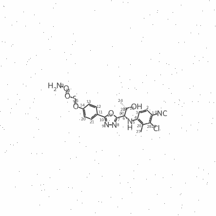 [C-]#[N+]c1ccc(N[C@@H](c2nnc(-c3ccc(OSOON)cc3)o2)[C@H](C)O)c(C)c1Cl